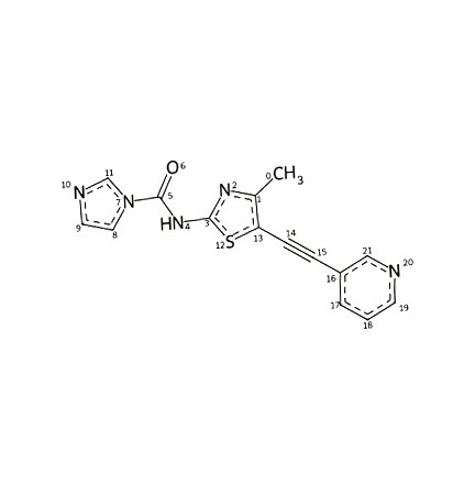 Cc1nc(NC(=O)n2ccnc2)sc1C#Cc1cccnc1